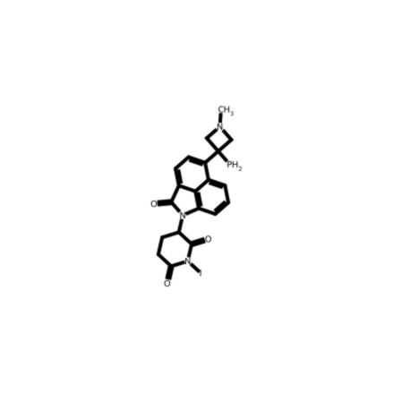 CN1CC(P)(c2ccc3c4c(cccc24)N(C2CCC(=O)N(I)C2=O)C3=O)C1